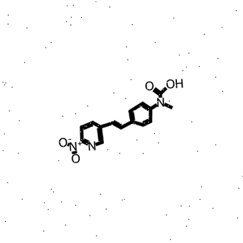 CN(C(=O)O)c1ccc(/C=C/c2ccc([N+](=O)[O-])nc2)cc1